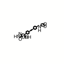 O=c1[nH]cnc(C[C@H](CO)c2ccc(C#Cc3ccc(CN[C@H]4CCS(=O)(=O)C4)cc3)cc2)c1O